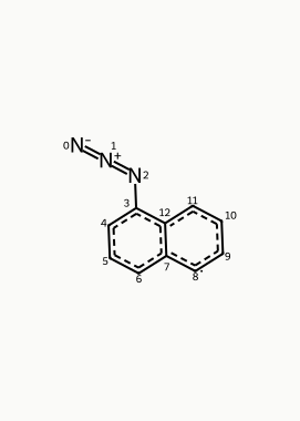 [N-]=[N+]=Nc1cccc2[c]cccc12